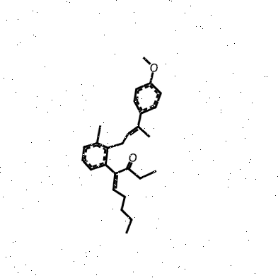 CCCC/C=C(\C(=O)CC)c1cccc(C)c1C/C=C(\C)c1ccc(OC)cc1